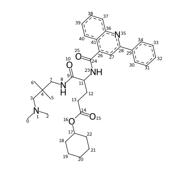 CN(C)CC(C)(C)CNC(=O)C(CCC(=O)OC1CCCCC1)NC(=O)c1cc(-c2ccccc2)nc2ccccc12